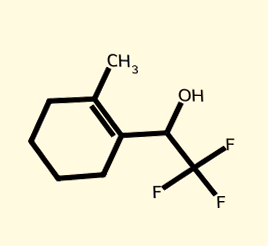 CC1=C(C(O)C(F)(F)F)CCCC1